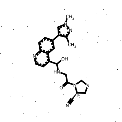 Cc1nn(C)cc1-c1ccc2nccc(C(O)NCC(=O)N3CSC[C@H]3C#N)c2c1